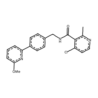 COc1cccc(-c2ccc(CNC(=O)c3c(Cl)ccnc3C)cc2)n1